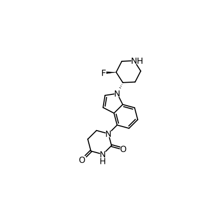 O=C1CCN(c2cccc3c2ccn3[C@H]2CCNC[C@@H]2F)C(=O)N1